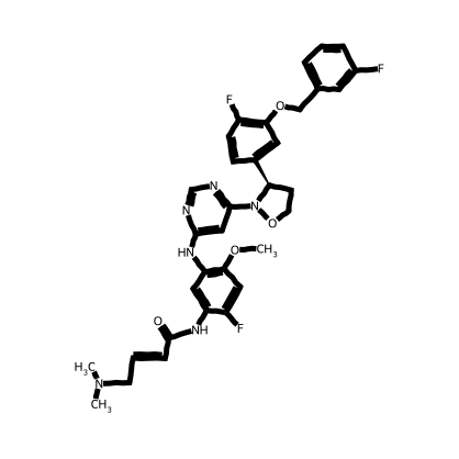 COc1cc(F)c(NC(=O)/C=C/CN(C)C)cc1Nc1cc(N2OCC[C@@H]2c2ccc(F)c(OCc3cccc(F)c3)c2)ncn1